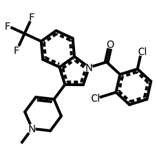 CN1CC=C(c2cn(C(=O)c3c(Cl)cccc3Cl)c3ccc(C(F)(F)F)cc23)CC1